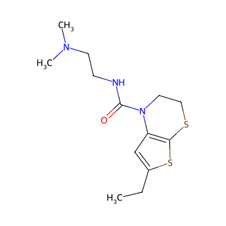 CCc1cc2c(s1)SCCN2C(=O)NCCN(C)C